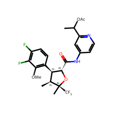 COc1c([C@H]2[C@H](C(=O)Nc3ccnc(C(C)OC(C)=O)c3)O[C@@](C)(C(F)(F)F)[C@H]2C)ccc(F)c1F